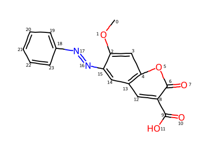 COc1cc2oc(=O)c(C(=O)O)cc2cc1N=Nc1ccccc1